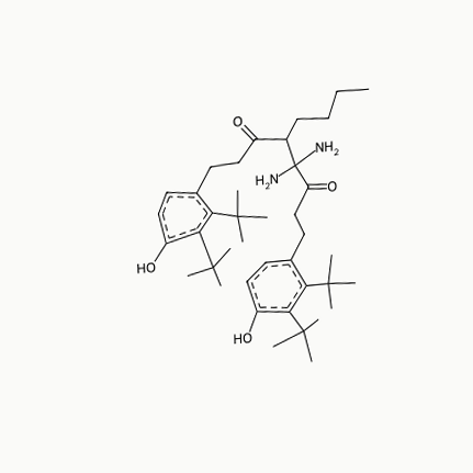 CCCCC(C(=O)CCc1ccc(O)c(C(C)(C)C)c1C(C)(C)C)C(N)(N)C(=O)CCc1ccc(O)c(C(C)(C)C)c1C(C)(C)C